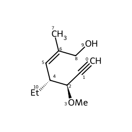 C#C[C@@H](OC)[C@@H](/C=C(/C)CO)CC